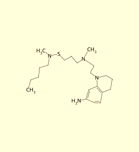 CCCCCN(C)SCCCN(C)CCN1CCCc2ccc(N)cc21